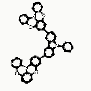 c1ccc(-n2c3ccc(-c4ccc5c(c4)Oc4cccc6c4N5c4ccccc4O6)cc3c3cc(-c4cc5c6c(c4)Oc4ccccc4N6c4ccccc4O5)ccc32)cc1